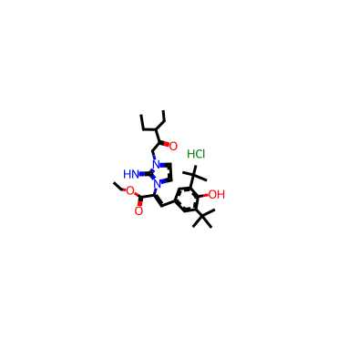 CCOC(=O)C(=Cc1cc(C(C)(C)C)c(O)c(C(C)(C)C)c1)n1ccn(CC(=O)C(CC)CC)c1=N.Cl